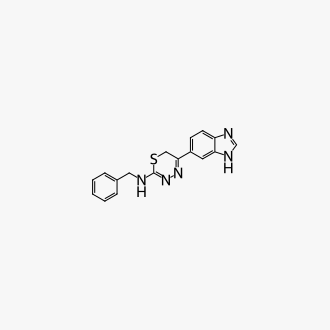 c1ccc(CNC2=NN=C(c3ccc4nc[nH]c4c3)CS2)cc1